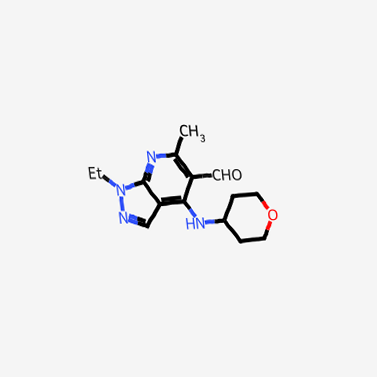 CCn1ncc2c(NC3CCOCC3)c(C=O)c(C)nc21